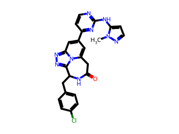 Cn1nccc1Nc1nccc(-c2cc3n4c(nnc4c2)C(Cc2ccc(Cl)cc2)NC(=O)C3)n1